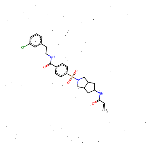 C=CC(=O)NC1CC2CN(S(=O)(=O)c3ccc(C(=O)NCCc4cccc(Cl)c4)cc3)CC2C1